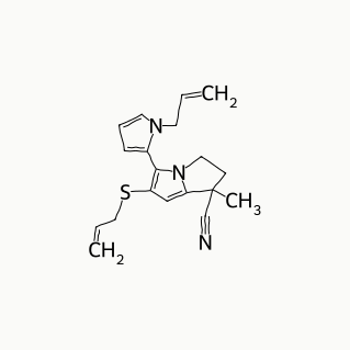 C=CCSc1cc2n(c1-c1cccn1CC=C)CCC2(C)C#N